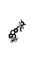 CCc1nc2c(C)cc(C)nc2n1Cc1ccc2c(c1)CCc1ccccc1C2=Cc1noc(=O)[nH]1